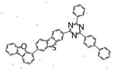 c1ccc(-c2ccc(-c3nc(-c4ccccc4)nc(-c4ccc5c(c4)sc4cc(-c6cccc7c6oc6ccccc67)ccc45)n3)cc2)cc1